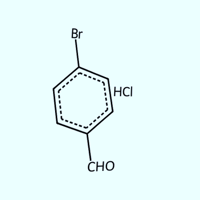 Cl.O=Cc1ccc(Br)cc1